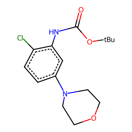 CC(C)(C)OC(=O)Nc1cc(N2CCOCC2)ccc1Cl